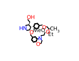 CCO[C@H](C)COCc1ccc([C@H]2[C@H](CCO)CNC[C@@H]2OCc2ccc3c(c2)N(CCCOC)CCO3)cc1